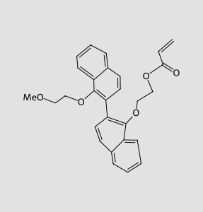 C=CC(=O)OCCOc1c(-c2ccc3ccccc3c2OCCOC)ccc2ccccc12